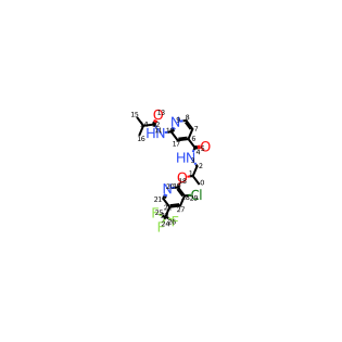 CC(CNC(=O)c1ccnc(NC(=O)C(C)C)c1)Oc1ncc(C(F)(F)F)cc1Cl